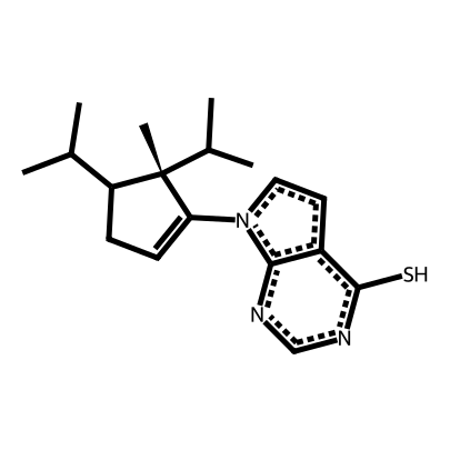 CC(C)C1CC=C(n2ccc3c(S)ncnc32)[C@@]1(C)C(C)C